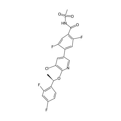 C[C@@H](Oc1ncc(-c2cc(F)c(C(=O)NS(C)(=O)=O)cc2F)cc1Cl)c1ccc(F)cc1F